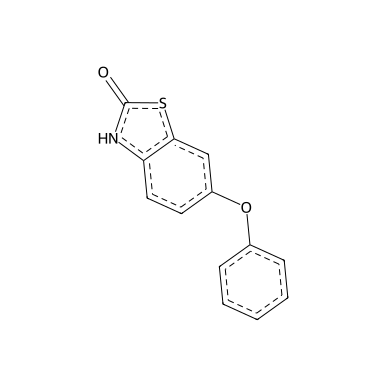 O=c1[nH]c2ccc(Oc3ccccc3)cc2s1